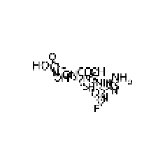 Nc1nc(/C(=N/OCF)C(=O)N[C@@H]2C(=O)N3C(C(=O)O)=C(C=NOCc4cc(=O)c(O)cn4O)CS[C@H]23)ns1